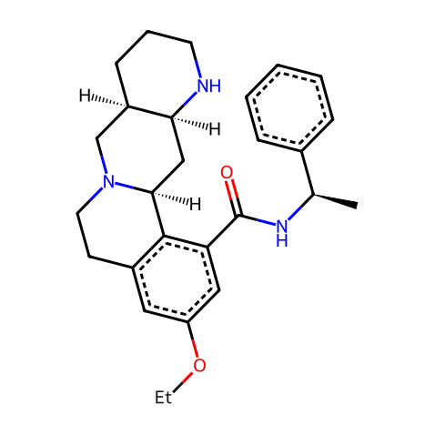 CCOc1cc2c(c(C(=O)N[C@H](C)c3ccccc3)c1)[C@@H]1C[C@@H]3NCCC[C@@H]3CN1CC2